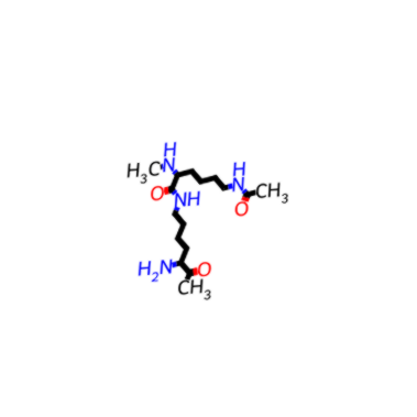 CNC(CCCCNC(C)=O)C(=O)NCCCCC(N)C(C)=O